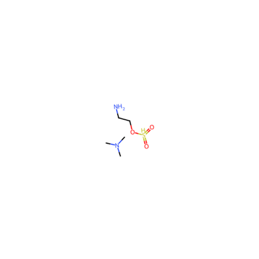 CN(C)C.NCCO[SH](=O)=O